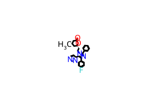 C[C@H]1CC(=O)O[C@H](CCn2c(-c3ccccc3)nc(-c3ccc(F)cc3)c2-c2ccncn2)C1